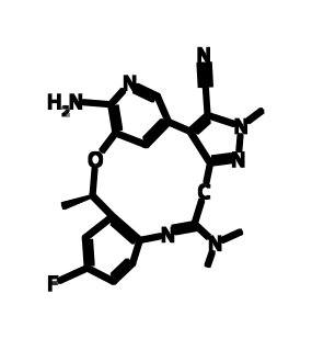 C[C@H]1Oc2cc(cnc2N)-c2c(nn(C)c2C#N)C/C(N(C)C)=N\c2ccc(F)cc21